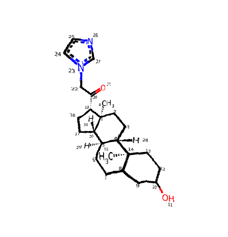 C[C@]12CC[C@H]3[C@@H](CCC4CC(O)CC[C@@]43C)[C@@H]1CC[C@@H]2C(=O)Cn1ccnc1